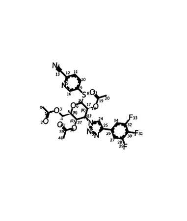 CC(=O)OC[C@H]1O[C@H](Sc2ccc(C#N)nc2)[C@H](OC(C)=O)[C@@H](n2cc(-c3cc(F)c(F)c(F)c3)nn2)[C@H]1OC(C)=O